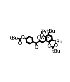 COC(=Cc1c(OC(=O)C(C)(C)C)c(C(C)(C)C)cc(C(C)(C)C)c1OC(C)C)C(=O)c1ccc(OC(=O)C(C)(C)C)cc1